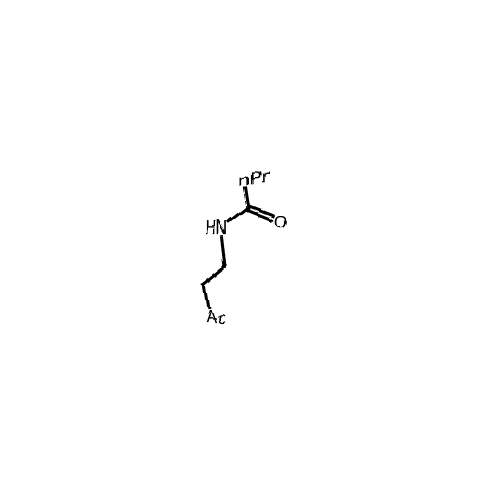 CCCC(=O)NCCC(C)=O